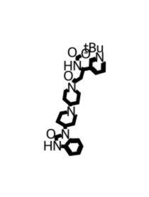 CC(C)(C)OC(=O)NC(CC(=O)N1CCC(N2CCC(n3c(=O)[nH]c4ccccc43)CC2)CC1)c1cccnc1